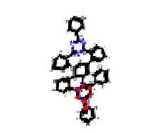 C#Cc1ccc(-c2cc(-c3ccccc3-c3nc(-c4ccccc4)nc(-c4ccccc4)n3)ccc2-c2ccccc2-c2nc(-c3ccccc3)nc(-c3ccccc3)n2)cc1